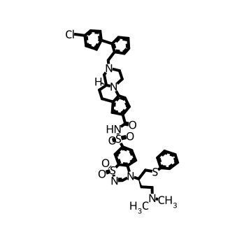 CN(C)CC[C@H](CSc1ccccc1)N1C=NS(=O)(=O)c2cc(S(=O)(=O)NC(=O)c3ccc4c(c3)CC[C@H]3CN(Cc5ccccc5-c5ccc(Cl)cc5)CCN43)ccc21